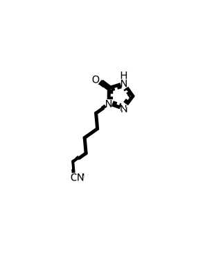 N#CCCCCCn1nc[nH]c1=O